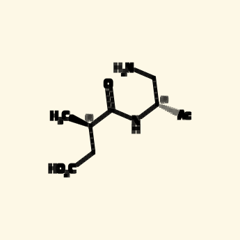 CC(=O)[C@@H](CN)NC(=O)[C@H](C)CC(=O)O